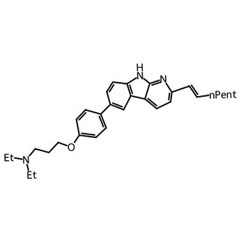 CCCCC/C=C/c1ccc2c(n1)[nH]c1ccc(-c3ccc(OCCCN(CC)CC)cc3)cc12